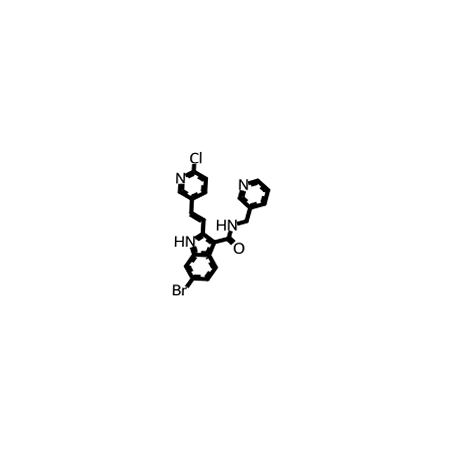 O=C(NCc1cccnc1)c1c(/C=C/c2ccc(Cl)nc2)[nH]c2cc(Br)ccc12